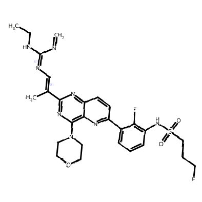 C=N/C(=N\C=C(/C)c1nc(N2CCOCC2)c2nc(-c3cccc(NS(=O)(=O)CCCF)c3F)ccc2n1)NCC